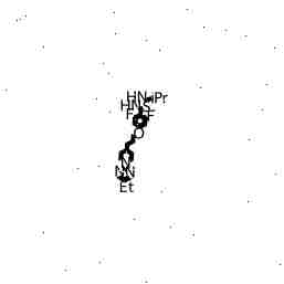 CCc1cnc(N2CCC(CCCOc3cc(F)c(C(=N)SC(=N)C(C)C)c(F)c3)CC2)nc1